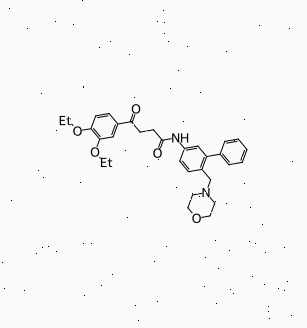 CCOc1ccc(C(=O)CCC(=O)Nc2ccc(CN3CCOCC3)c(-c3ccccc3)c2)cc1OCC